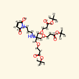 CC(C)(C)OC(=O)CCOCC(COCCC(=O)OC(C)(C)C)(COCCC(=O)OC(C)(C)C)NCCCN1C(=O)C=CC1=O